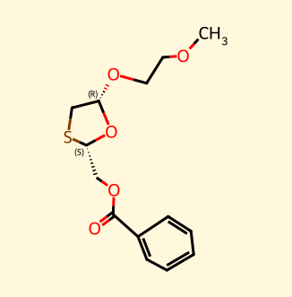 COCCO[C@H]1CS[C@@H](COC(=O)c2ccccc2)O1